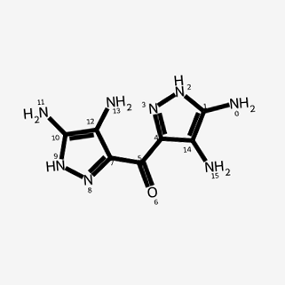 Nc1[nH]nc(C(=O)c2n[nH]c(N)c2N)c1N